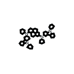 c1ccc(N(c2cc3ccc4ccc(N(c5ccccc5)c5ccc6c(c5)c5ccccc5n6-c5ccccc5)c5ccc(c2)c3c45)c2ccc3c(c2)c2ccccc2n3-c2ccccc2)cc1